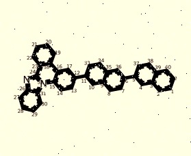 c1ccc2cc(-c3ccc4cc(-c5ccc6c(c5)c5ccccc5c5nc7ccccc7n65)ccc4c3)ccc2c1